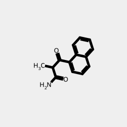 CC(C(N)=O)C(=O)c1cccc2ccccc12